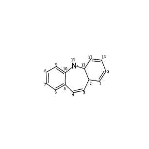 C1=CC2C=Cc3ccccc3[N]C2C=C1